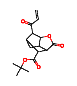 C=CC(=O)C1C2CC3C1OC(=O)C3C2C(=O)OC(C)(C)C